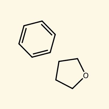 C1CCOC1.c1ccccc1